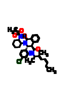 C=C/C=C\C=C(/C)C(C)NC(=O)[C@@H]1c2ccccc2C(=O)N([C@H]2CCCC[C@@H]2NS(C)(=O)=O)[C@H]1c1ccc(Cl)cc1